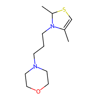 CC1=CSC(C)N1CCCN1CCOCC1